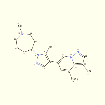 COc1cc(-c2cnn([C@@H]3CCCN(C#N)CC3)c2C)cn2ncc(C#N)c12